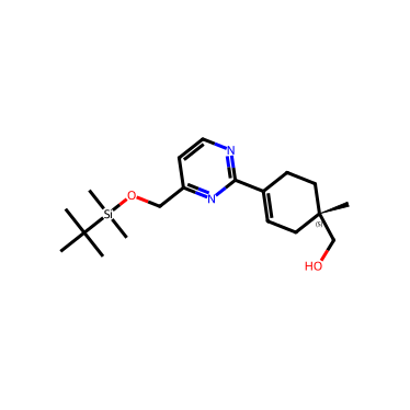 CC(C)(C)[Si](C)(C)OCc1ccnc(C2=CC[C@@](C)(CO)CC2)n1